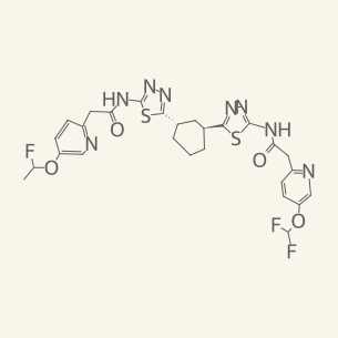 CC(F)Oc1ccc(CC(=O)Nc2nnc([C@H]3CCC[C@H](c4nnc(NC(=O)Cc5ccc(OC(F)F)cn5)s4)C3)s2)nc1